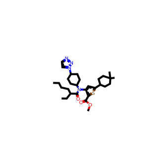 CCCCC(CC)C(=O)N(c1cc(C2CCC(C)(C)CC2)sc1C(=O)OC)C1CCC(n2ccnn2)CC1